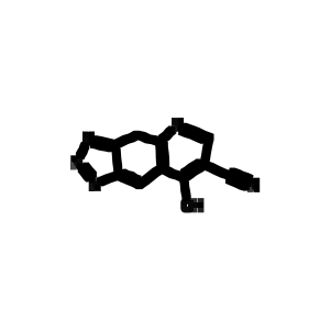 N#Cc1cnc2c(c1O)C=C1N=NN=C1C2